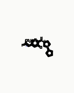 O=C(O)/C(F)=C\c1cnc(N[C@@H]2CCN(C3CCCC3)C2)c(Cl)c1